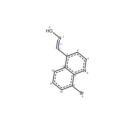 O/N=C/c1ccnc2c(Br)cccc12